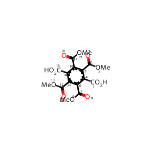 COC(=O)c1c(C(=O)O)c(C(=O)OC)c(C(=O)OC)c(C(=O)O)c1C(=O)OC